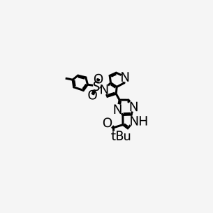 Cc1ccc(S(=O)(=O)n2cc(-c3cnc4[nH]cc(C(=O)C(C)(C)C)c4n3)c3cnccc32)cc1